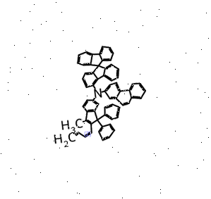 C=C/C=C\C1=C(C)c2ccc(N(c3ccc4c(ccc5ccccc54)c3)c3cccc4c3-c3ccccc3C43c4ccccc4-c4ccccc43)cc2C1(c1ccccc1)c1ccccc1